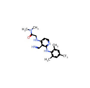 Cc1cc(C(F)(F)F)cc(C)c1Nc1nccc(NCC(=O)N(C)C)c1C=N